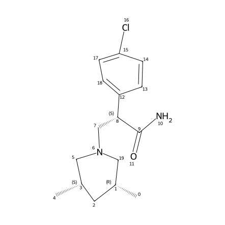 C[C@@H]1C[C@H](C)CN(C[C@@H](C(N)=O)c2ccc(Cl)cc2)C1